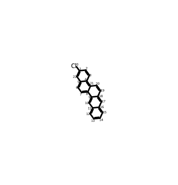 Clc1ccc2c(ccc3c4cc5ccccc5cc4ccc23)c1